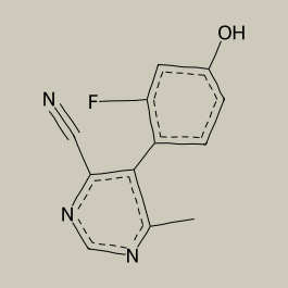 Cc1ncnc(C#N)c1-c1ccc(O)cc1F